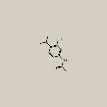 Bc1nc(NC(C)=O)ccc1C(C)C